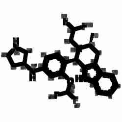 C[C@@H]1Cc2c([nH]c3ccccc23)[C@@H](c2ccc(N[C@H]3CCNC3)cc2OC(F)F)N1CC(F)F